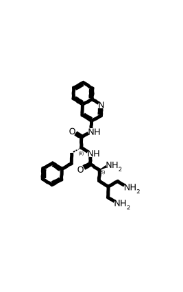 NCC(CN)C[C@H](N)C(=O)N[C@H](CCc1ccccc1)C(=O)Nc1cnc2ccccc2c1